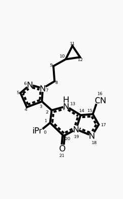 CC(C)c1c(-c2ccnn2CCC2CC2)[nH]c2c(C#N)cnn2c1=O